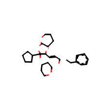 OC(/C=C/[C@H](CCc1ccccc1)O[C@H]1CCCCO1)C(O)(OC1CCCCO1)C1CCCC1